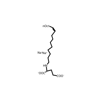 CCCCCCCC/C=C\CCCCCCCCN[C@@H](CCC(=O)[O-])C(=O)[O-].[Na+].[Na+]